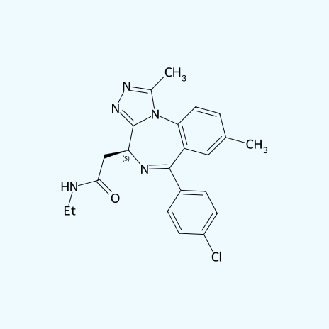 CCNC(=O)C[C@@H]1N=C(c2ccc(Cl)cc2)c2cc(C)ccc2-n2c(C)nnc21